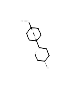 CCCCCCCC12CCC([C@H]3CC[C@H](CC)CC3)(CC1)CC2